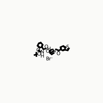 CC(C)(C)OC(=O)NC(C(=O)O[C@H]1C[N+]2(CC(=O)c3ccc4sccc4c3)CCC1CC2)c1ccccc1.[Br-]